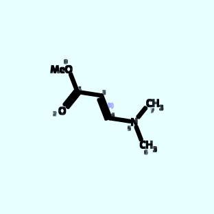 COC(=O)/C=C/N(C)C